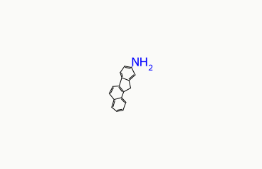 Nc1ccc2c(c1)Cc1c-2ccc2ccccc12